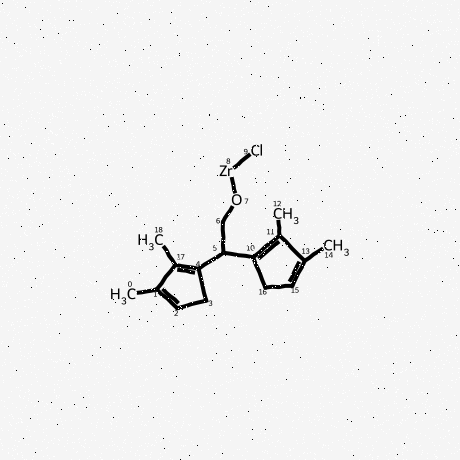 CC1=CCC(C(C[O][Zr][Cl])C2=C(C)C(C)=CC2)=C1C